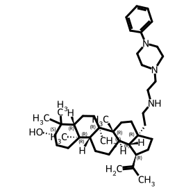 C=C(C)[C@@H]1CC[C@]2(CCNCCN3CCN(c4ccccc4)CC3)CC[C@]3(C)[C@H](CC[C@@H]4[C@@]5(C)CC[C@H](O)C(C)(C)[C@@H]5CC[C@]43C)[C@@H]12